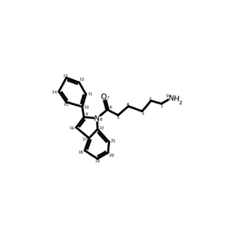 NCCCCCC(=O)n1c(-c2ccccc2)cc2ccccc21